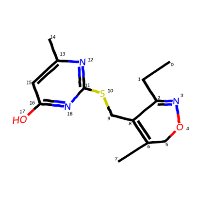 CCC1=NOCC(C)=C1CSc1nc(C)cc(O)n1